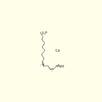 CCCCC/C=C\C/C=C\CCCCCCCC(=O)O.[Cd]